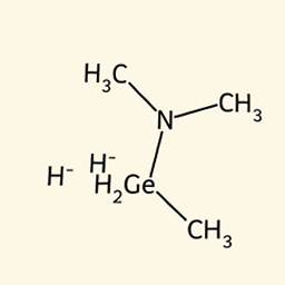 [CH3][GeH2][N](C)C.[H-].[H-]